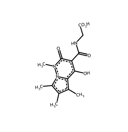 Cc1c(C)c2c(O)c(C(=O)NCC(=O)O)c(=O)n(C)n2c1C